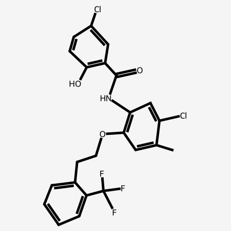 Cc1cc(OCCc2ccccc2C(F)(F)F)c(NC(=O)c2cc(Cl)ccc2O)cc1Cl